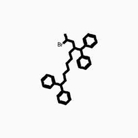 CC(Br)CC(CCCCCCC(c1ccccc1)c1ccccc1)C(c1ccccc1)c1ccccc1